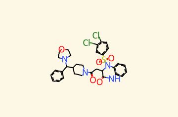 O=C1Nc2ccccc2N(S(=O)(=O)c2ccc(Cl)c(Cl)c2)C1CC(=O)N1CCC(C(c2ccccc2)N2CCOCC2)CC1